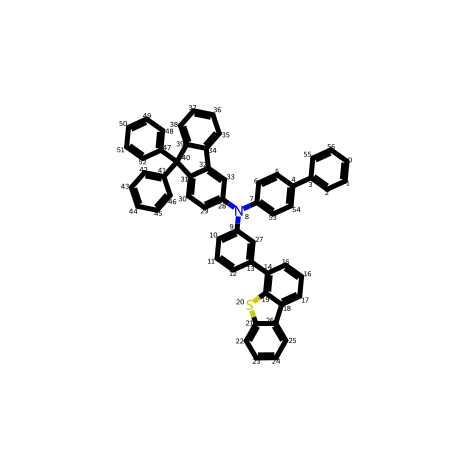 c1ccc(-c2ccc(N(c3cccc(-c4cccc5c4sc4ccccc45)c3)c3ccc4c(c3)-c3ccccc3C4(c3ccccc3)c3ccccc3)cc2)cc1